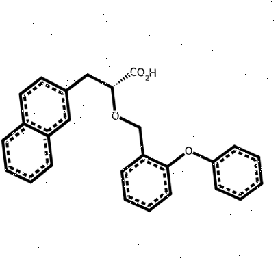 O=C(O)[C@@H](Cc1ccc2ccccc2c1)OCc1ccccc1Oc1ccccc1